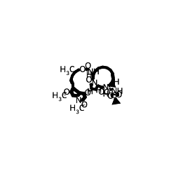 COc1cc2c3cc(c(OC)cc3n1)/C=C/C[C@@H](C)COC(=O)N[C@H]1CCCCC/C=C\[C@@H]3C[C@@]3(C(=O)NS(=O)(=O)C3CC3)NC(=O)[C@@H]3C[C@H](CN3C1=O)O2